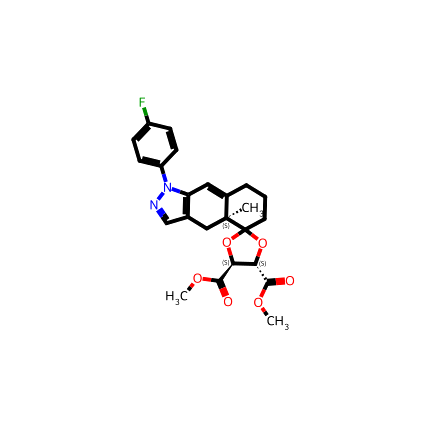 COC(=O)[C@H]1OC2(CCCC3=Cc4c(cnn4-c4ccc(F)cc4)C[C@@]32C)O[C@@H]1C(=O)OC